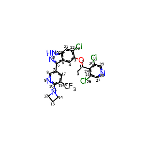 C[C@@H](Oc1cc2c(-c3cnc(N4CCC4)c(C(F)(F)F)c3)n[nH]c2cc1Cl)c1c(Cl)cncc1Cl